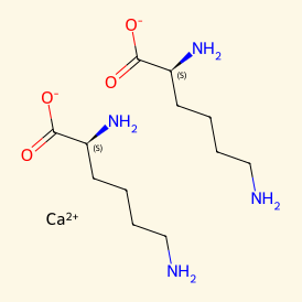 NCCCC[C@H](N)C(=O)[O-].NCCCC[C@H](N)C(=O)[O-].[Ca+2]